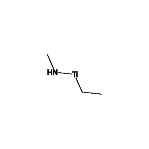 C[CH2][Ti][NH]C